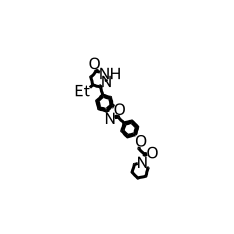 CCC1CC(=O)NN=C1c1ccc2nc(-c3ccc(OCC(=O)N4CCCCC4)cc3)oc2c1